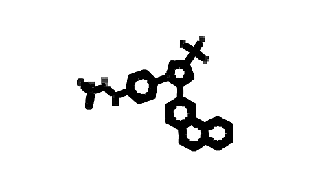 O=[SH](=O)NNc1ccc(-n2cc(C(F)(F)F)cc2-c2ccc3ccc4ccccc4c3c2)cc1